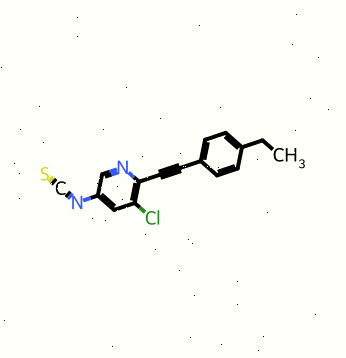 CCc1ccc(C#Cc2ncc(N=C=S)cc2Cl)cc1